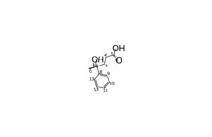 C[C@@](O)(CCC(=O)O)c1ccccc1